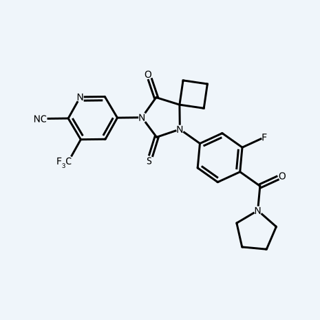 N#Cc1ncc(N2C(=O)C3(CCC3)N(c3ccc(C(=O)N4CCCC4)c(F)c3)C2=S)cc1C(F)(F)F